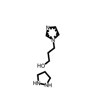 C1CNNC1.OCCCn1ccnc1